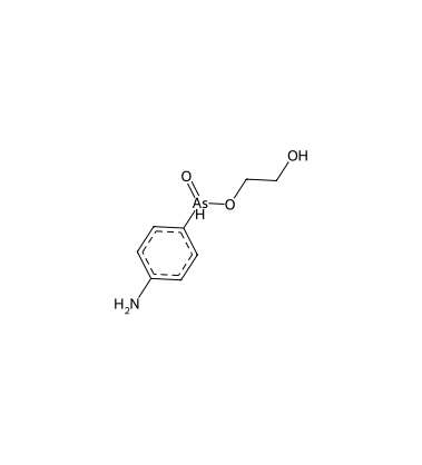 Nc1ccc([AsH](=O)OCCO)cc1